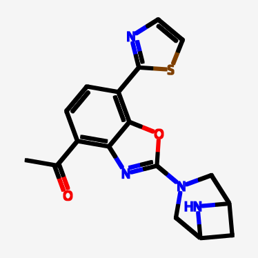 CC(=O)c1ccc(-c2nccs2)c2oc(N3CC4CC(C3)N4)nc12